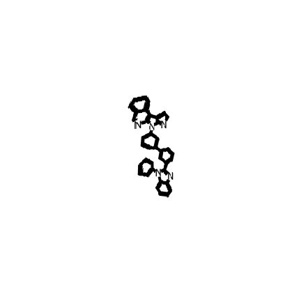 C1=c2c(n(-c3cccc(-c4cccc(-c5nc6ccccc6n5-c5ccccc5)c4)c3)c3ncc4ccccc4c23)=NC1